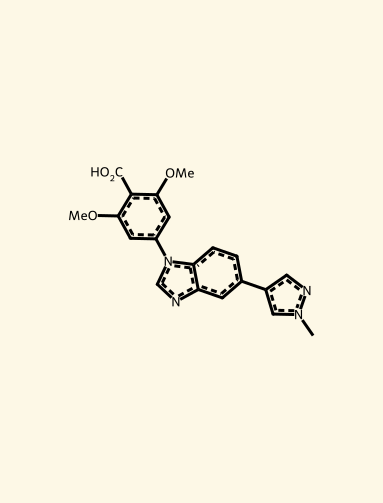 COc1cc(-n2cnc3cc(-c4cnn(C)c4)ccc32)cc(OC)c1C(=O)O